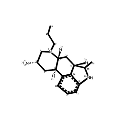 CCCN1C[C@@H](N)C[C@@H]2c3cccc4c3[C@H](C[C@H]21)C(C)N4